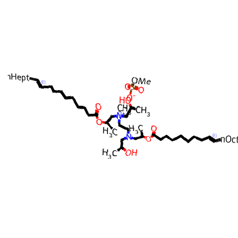 CCCCCCC/C=C/CCCCCCCCC(=O)OC(C)C[N+](C)(CCN(CC(C)O)CC(C)OC(=O)CCCCCCC/C=C/CCCCCCCC)CC(C)O.COS(=O)(=O)[O-]